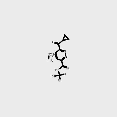 CS(=O)(=O)O.[2H]C([2H])([2H])NC(=O)c1ccc(C(=O)C2CC2)nn1